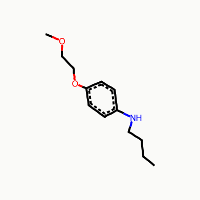 CCCCNc1ccc(OCCOC)cc1